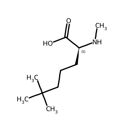 CN[C@@H](CCCC(C)(C)C)C(=O)O